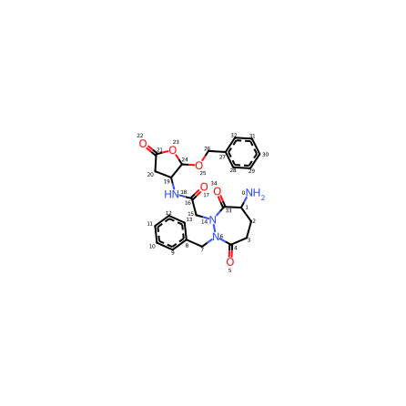 NC1CCC(=O)N(Cc2ccccc2)N(CC(=O)NC2CC(=O)OC2OCc2ccccc2)C1=O